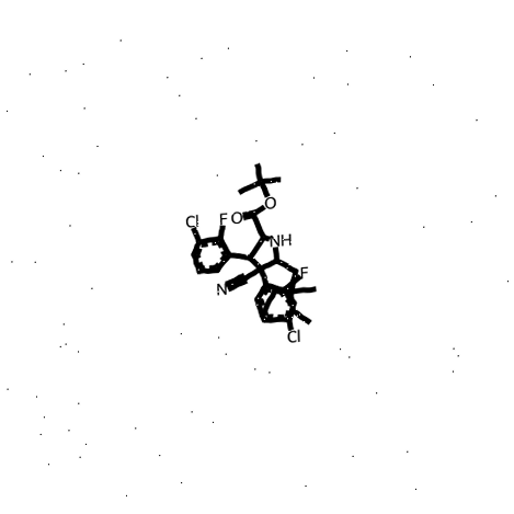 CCC(C)(CC)CC1NC(C(=O)OC(C)(C)C)C(c2cccc(Cl)c2F)C1(C#N)c1ccc(Cl)cc1F